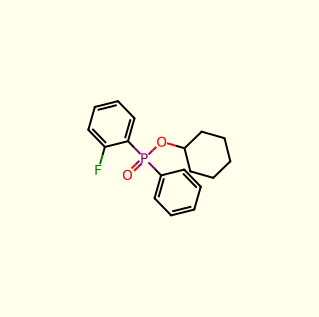 O=P(OC1CCCCC1)(c1ccccc1)c1ccccc1F